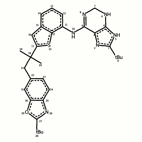 CC(C)(C)c1nc2c([nH]1)NCN=C2Nc1cccc2cc(C(C)(C)Cc3ccc4nc(C(C)(C)C)oc4c3)sc12